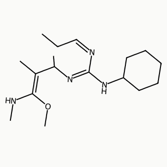 CC/C=N\C(=N/C(C)C(C)=C(NC)OC)NC1CCCCC1